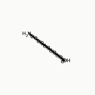 NCCOCCOCCOCCOCCOCCOCCOCCOCCOCCOCCC(=O)O